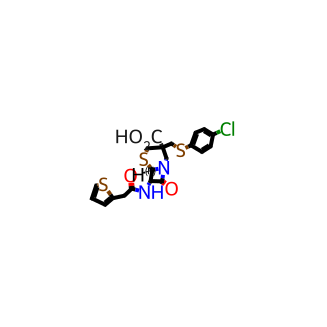 O=C(Cc1cccs1)NC1C(=O)N2CC(CSc3ccc(Cl)cc3)(C(=O)O)CS[C@H]12